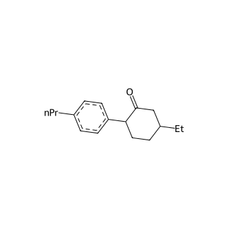 CCCc1ccc(C2CCC(CC)CC2=O)cc1